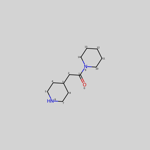 O=C(CC1CCNCC1)N1CCCCC1